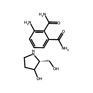 NC(=O)c1cccc(N)c1C(N)=O.OC[C@H]1NCCC1O